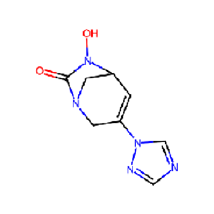 O=C1N2CC(n3cncn3)=CC(C2)N1O